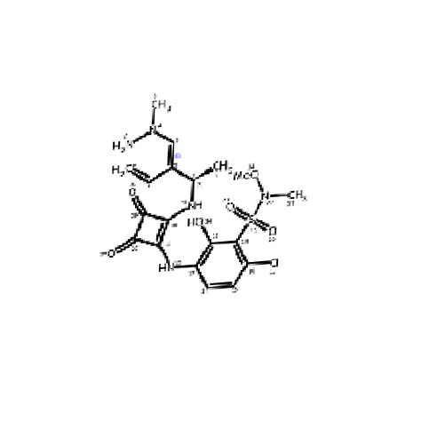 C=C/C(=C\N(C)N)[C@@H](C)Nc1c(Nc2ccc(Cl)c(S(=O)(=O)N(C)OC)c2O)c(=O)c1=O